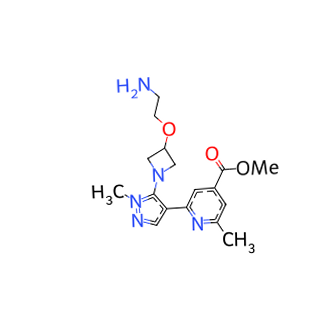 COC(=O)c1cc(C)nc(-c2cnn(C)c2N2CC(OCCN)C2)c1